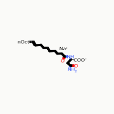 CCCCCCCC/C=C/CCCCCCCC(=O)N[C@@H](CC(N)=O)C(=O)[O-].[Na+]